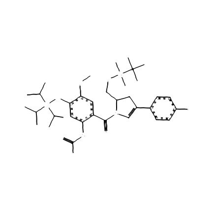 COc1cc(C(=O)N2C=C(c3ccc(F)cc3)CC2CO[Si](C)(C)C(C)(C)C)c(NC(=O)O)cc1O[Si](C(C)C)(C(C)C)C(C)C